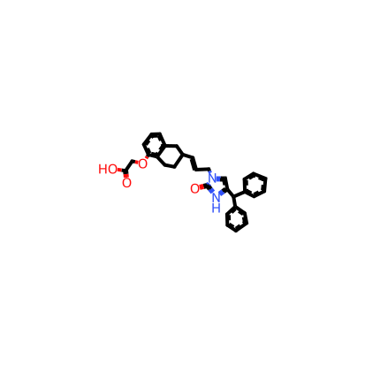 O=C(O)COc1cccc2c1CCC(/C=C/Cn1cc(C(c3ccccc3)c3ccccc3)[nH]c1=O)C2